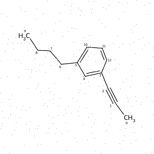 CC#Cc1[c]c(CCCC)ccc1